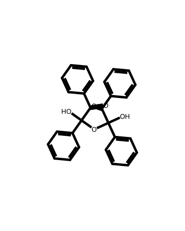 O=C(c1ccccc1)C(O)(OC(O)(C(=O)c1ccccc1)c1ccccc1)c1ccccc1